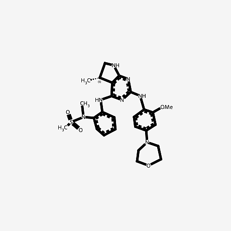 COc1cc(N2CCOCC2)ccc1Nc1nc2c(c(Nc3ccccc3N(C)S(C)(=O)=O)n1)[C@H](C)CN2